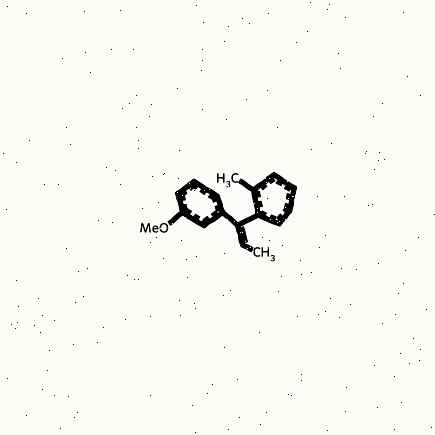 CC=C(c1cccc(OC)c1)c1ccccc1C